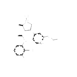 Cc1c(F)cccc1NC(=O)[C@@H]1C(=O)N(C)C[C@H]1c1ccnc(OCC(F)(F)F)c1